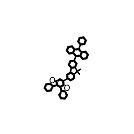 CC1(C)c2ccc(-c3cc4oc5ccccc5c4c4c3oc3ccccc34)cc2-c2ccc(-c3c4ccccc4c(-c4ccccc4)c4ccccc34)cc21